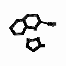 O=C(O)c1ccc2ccccc2n1.c1c[nH]nn1